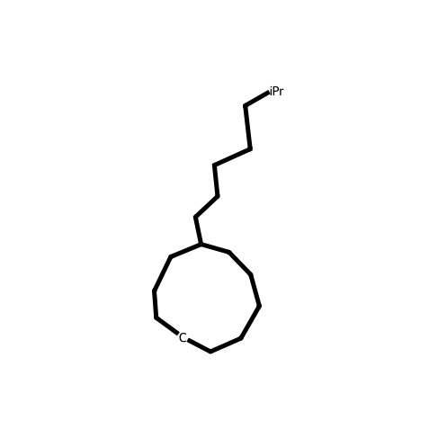 CC(C)CCCCC[C]1CCCCCCCCC1